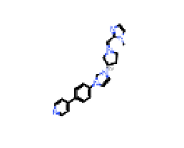 Cn1ccnc1CN1CC[C@H](N2C=CN(c3ccc(-c4ccncc4)cc3)C2)C1